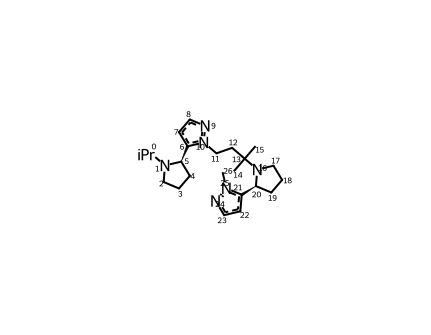 CC(C)N1CCC[C@@H]1c1ccnn1CCC(C)(C)N1CCC[C@H]1c1ccnn1C